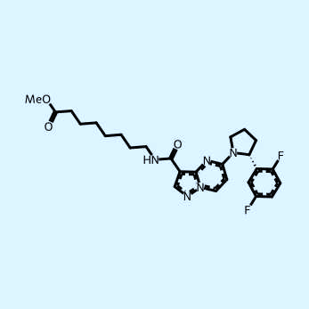 COC(=O)CCCCCCCNC(=O)c1cnn2ccc(N3CCC[C@@H]3c3cc(F)ccc3F)nc12